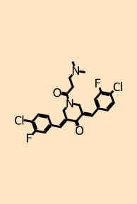 CN(C)CCC(=O)N1C/C(=C\c2ccc(Cl)c(F)c2)C(=O)/C(=C/c2ccc(Cl)c(F)c2)C1